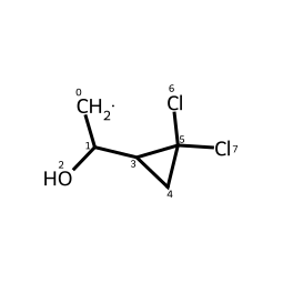 [CH2]C(O)C1CC1(Cl)Cl